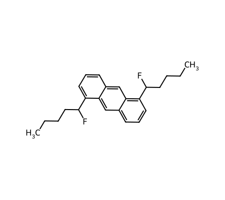 CCCCC(F)c1cccc2cc3c(C(F)CCCC)cccc3cc12